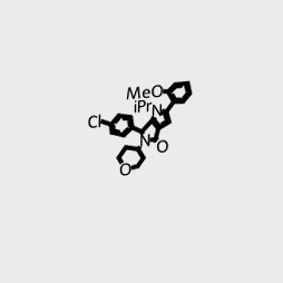 COc1ccccc1-c1cc2c(n1C(C)C)C(c1ccc(Cl)cc1)N(C1CCOCC1)C2=O